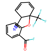 N#CC1C=CC=CC1(Oc1ccccc1C(=O)F)C(F)(F)F